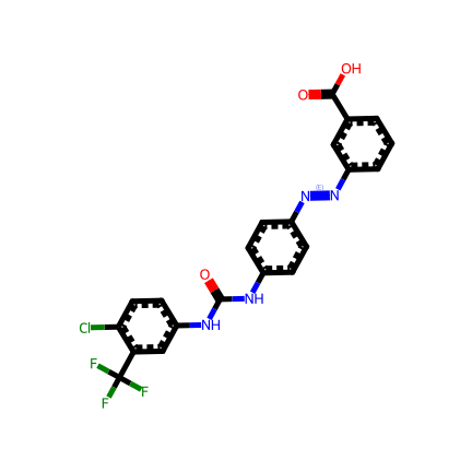 O=C(Nc1ccc(/N=N/c2cccc(C(=O)O)c2)cc1)Nc1ccc(Cl)c(C(F)(F)F)c1